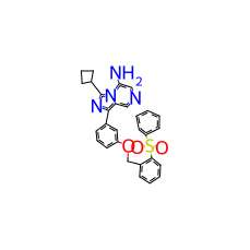 Nc1cncc2c(-c3cccc(OCc4ccccc4S(=O)(=O)c4ccccc4)c3)nc(C3CCC3)n12